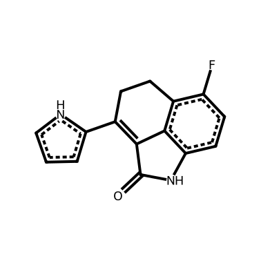 O=C1Nc2ccc(F)c3c2C1=C(c1ccc[nH]1)CC3